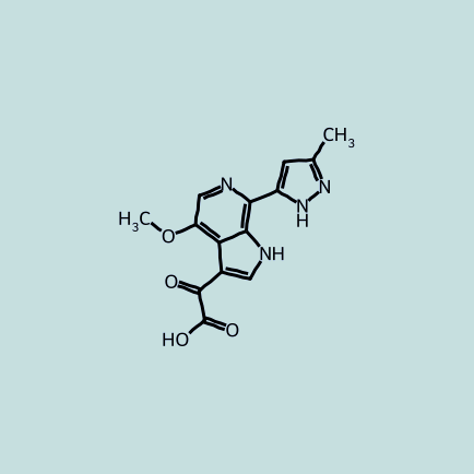 COc1cnc(-c2cc(C)n[nH]2)c2[nH]cc(C(=O)C(=O)O)c12